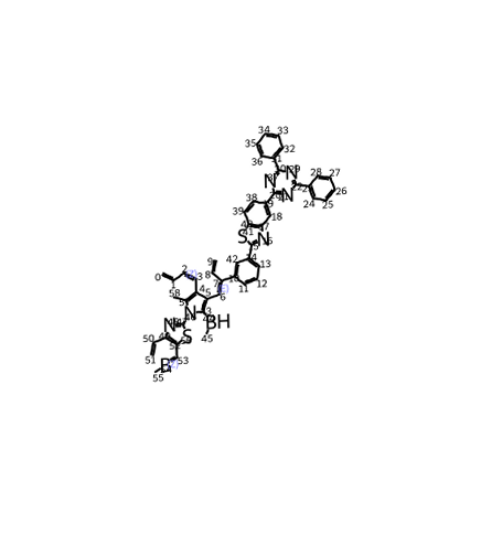 C=C/C=C\c1c(/C=C(\C=C)c2cccc(-c3nc4cc(-c5nc(-c6ccccc6)nc(-c6ccccc6)n5)ccc4s3)c2)c(BC)n(-c2nc(C=C)c(/C=B\C)s2)c1C